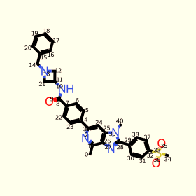 Cc1nc(-c2ccc(C(=O)NC3CN(Cc4ccccc4)C3)cc2)cc2c1nc(-c1ccc(S(C)(=O)=O)cc1)n2C